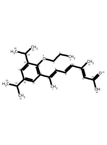 CCCOc1c(C(C)=CC=CC(C)=CC(=O)O)cc(C(C)C)cc1C(C)C